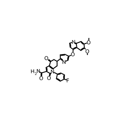 COc1cc2nccc(Oc3ccc(C4CC(=O)c5cc(C(N)=O)c(=O)n(-c6ccc(F)cc6)c5C4)nc3)c2cc1OC